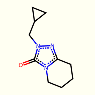 O=c1n(CC2CC2)nc2n1CCCC2